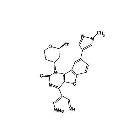 CC[C@H]1C[C@@H](n2c(=O)nc(/C(C=N)=C/NC)c3oc4ccc(-c5cnn(C)c5)cc4c32)CCO1